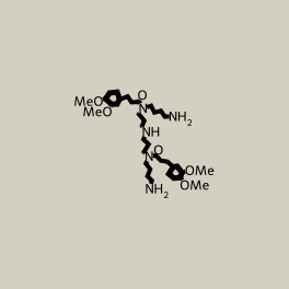 COc1ccc(CCC(=O)N(CCCCN)CCCNCCCN(CCCCN)C(=O)CCc2ccc(OC)c(OC)c2)cc1OC